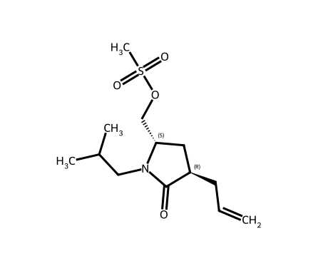 C=CC[C@@H]1C[C@@H](COS(C)(=O)=O)N(CC(C)C)C1=O